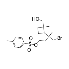 Cc1ccc(S(=O)(=O)OCCC(C)(CBr)C2CCC2(C)CO)cc1